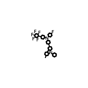 Cc1ccc2c3cc(-c4ccc(N(c5ccc(F)cc5)c5ccc(-c6c(F)c(F)c(F)c(F)c6F)cc5)cc4)ccc3n(-c3ccccc3)c2c1